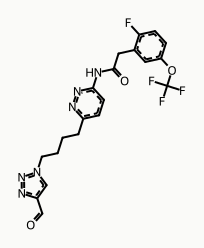 O=Cc1cn(CCCCc2ccc(NC(=O)Cc3cc(OC(F)(F)F)ccc3F)nn2)nn1